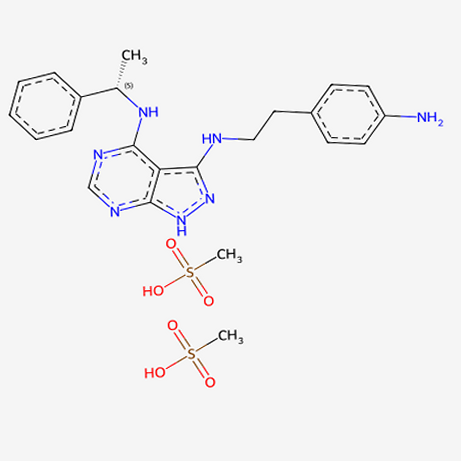 CS(=O)(=O)O.CS(=O)(=O)O.C[C@H](Nc1ncnc2[nH]nc(NCCc3ccc(N)cc3)c12)c1ccccc1